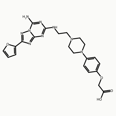 Nc1nc(NCCN2CCN(c3ccc(OCC(=O)O)cc3)CC2)nc2nc(-c3ccco3)nn12